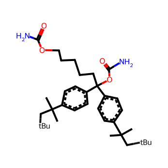 CC(C)(C)CC(C)(C)c1ccc(C(CCCCCOC(N)=O)(OC(N)=O)c2ccc(C(C)(C)CC(C)(C)C)cc2)cc1